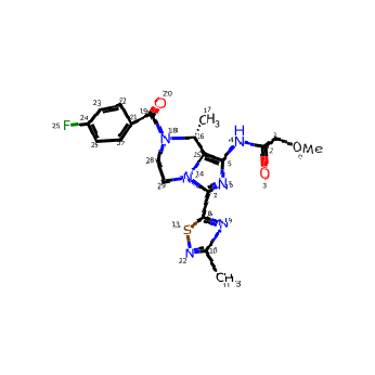 COCC(=O)Nc1nc(-c2nc(C)ns2)n2c1[C@@H](C)N(C(=O)c1ccc(F)cc1)CC2